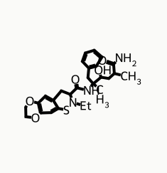 CCN1Sc2cc3c(cc2CC1C(=O)NC(C)(Cc1ccccc1)C(O)CC(C)C(N)=O)OCCO3